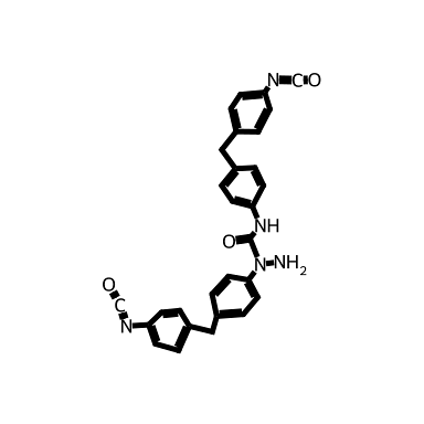 NN(C(=O)Nc1ccc(Cc2ccc(N=C=O)cc2)cc1)c1ccc(Cc2ccc(N=C=O)cc2)cc1